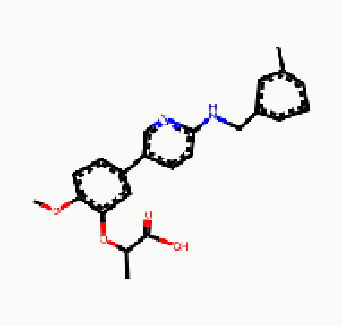 COc1ccc(-c2ccc(NCc3cccc(C)c3)nc2)cc1OC(C)C(=O)O